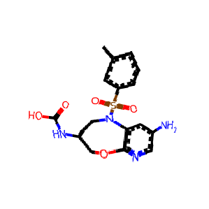 Cc1cccc(S(=O)(=O)N2CC(NC(=O)O)COc3ncc(N)cc32)c1